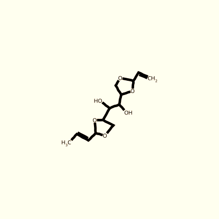 C=CC1OCC(C(O)C(O)C2COC(C=CC)O2)O1